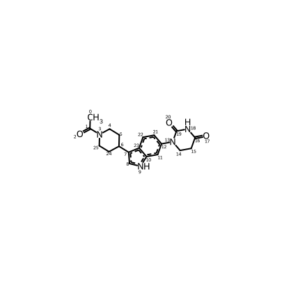 CC(=O)N1CCC(c2c[nH]c3cc(N4CCC(=O)NC4=O)ccc23)CC1